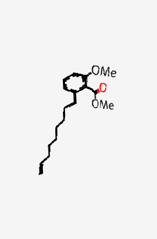 C=CCCCCCCCc1cccc(OC)c1C(=O)OC